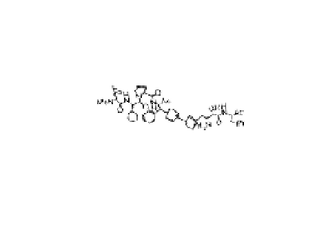 CN[C@@H](C)C(=O)N[C@H](C(=O)N1CCC[C@H]1C(=O)N[C@H](C(C)=O)C(c1ccccc1)c1ccc(-c2cccc(C[C@@H](N)[C@H](O)C(=O)N[C@@H](CC(C)C)C(C)=O)c2)cc1)C1CCCCC1